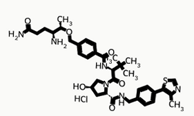 Cc1ncsc1-c1ccc(CNC(=O)[C@@H]2C[C@@H](O)CN2C(=O)[C@@H](NC(=O)c2ccc(CO[C@H](C)[C@@H](N)CCC(N)=O)cc2)C(C)(C)C)cc1.Cl